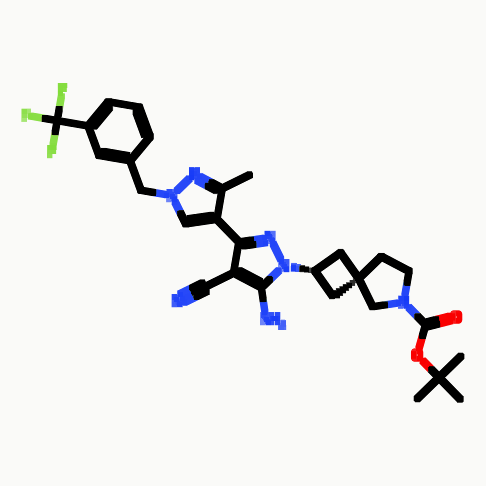 Cc1nn(Cc2cccc(C(F)(F)F)c2)cc1-c1nn([C@H]2C[C@@]3(CCN(C(=O)OC(C)(C)C)C3)C2)c(N)c1C#N